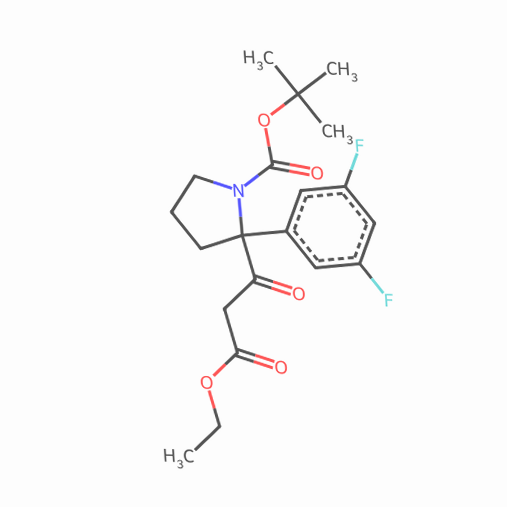 CCOC(=O)CC(=O)C1(c2cc(F)cc(F)c2)CCCN1C(=O)OC(C)(C)C